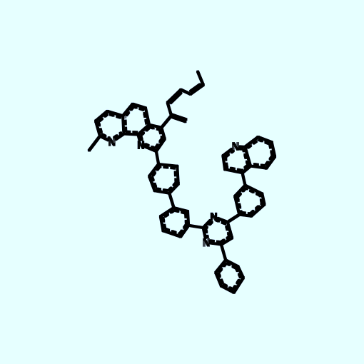 C=C(/C=C\C=C/C)c1cc(-c2ccc(-c3cccc(-c4nc(-c5ccccc5)cc(-c5cccc(-c6ccnc7ccccc67)c5)n4)c3)cc2)nc2c1ccc1ccc(C)nc12